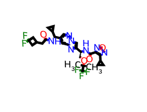 CC(C)(OC[C@H](NC(=O)c1nonc1C1CC1)c1cn2ncc([C@H](NC(=O)CC3CC(F)(F)C3)C3CC3)cc2n1)C(F)(F)F